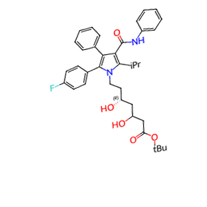 CC(C)c1c(C(=O)Nc2ccccc2)c(-c2ccccc2)c(-c2ccc(F)cc2)n1CC[C@@H](O)CC(O)CC(=O)OC(C)(C)C